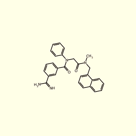 CN(Cc1cccc2ccccc12)C(=O)CN(C(=O)c1cccc(C(=N)N)c1)c1ccccc1